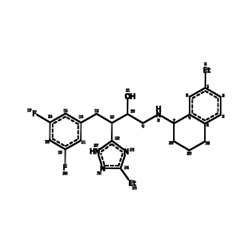 CCc1ccc2c(c1)C(NCC(O)C(Cc1cc(F)cc(F)c1)c1nc(CC)n[nH]1)CCC2